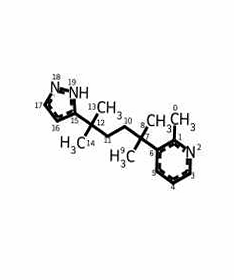 Cc1ncccc1C(C)(C)CCC(C)(C)c1ccn[nH]1